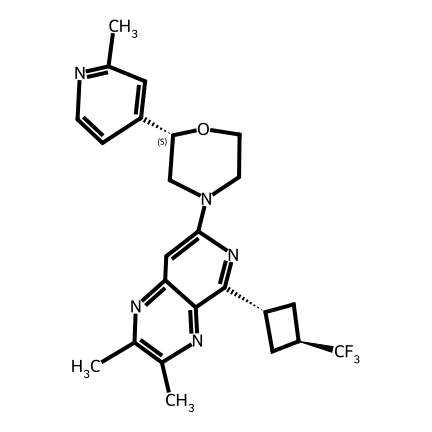 Cc1cc([C@H]2CN(c3cc4nc(C)c(C)nc4c([C@H]4C[C@H](C(F)(F)F)C4)n3)CCO2)ccn1